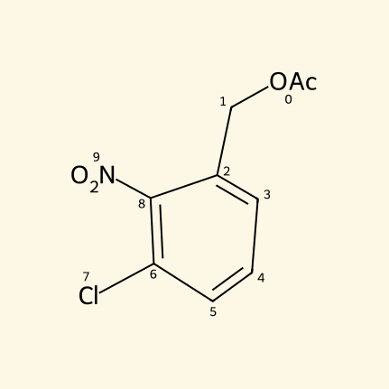 CC(=O)OCc1cccc(Cl)c1[N+](=O)[O-]